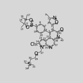 Cc1cc(-c2c(-c3ccc(B4OC(C)(C)C(C)(C)O4)cc3)c3c4cc(Cl)n(COCC[Si](C)(C)C)c4ncc3n(C)c2=O)on1